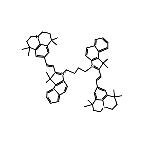 CC1(C)CCN2CCC(C)(C)c3cc(/C=C/C4=[N+](CCCC[N+]5=C(/C=C/c6cc7c8c(c6)C(C)(C)CCN8CCC7(C)C)C(C)(C)c6c5ccc5ccccc65)c5ccc6ccccc6c5C4(C)C)cc1c32